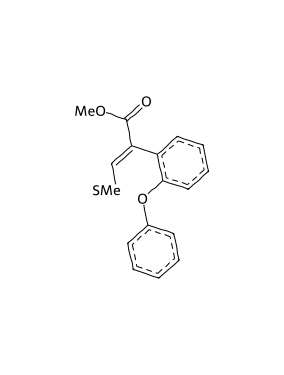 COC(=O)/C(=C/SC)c1ccccc1Oc1ccccc1